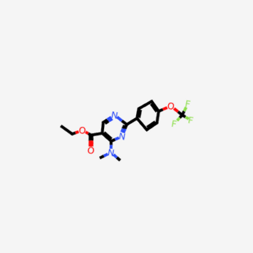 CCOC(=O)c1cnc(-c2ccc(OC(F)(F)F)cc2)nc1N(C)C